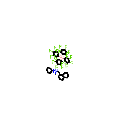 C[N+](C)(Cc1cccc2ccccc12)c1ccccc1.Fc1c(F)c(F)c([B-](c2c(F)c(F)c(F)c(F)c2F)(c2c(F)c(F)c(F)c(F)c2F)c2c(F)c(F)c(F)c(F)c2F)c(F)c1F